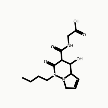 CCCCN1C(=O)C(C(=O)NCC(=O)O)C(O)C2C=CCN21